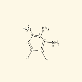 Cc1cc(N)c(N)c(N)c1C